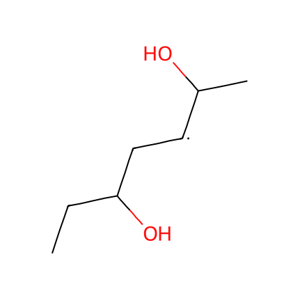 CCC(O)C[CH]C(C)O